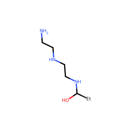 CCC(O)NCCNCCN